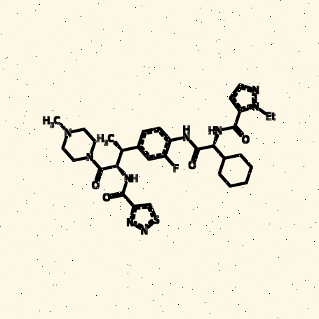 CCn1nccc1C(=O)N[C@H](C(=O)Nc1ccc([C@H](C)[C@@H](NC(=O)c2csnn2)C(=O)N2CCN(C)CC2)cc1F)C1CCCCC1